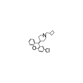 Clc1ccc2c(c1)C(=C1CCN(CC3CCC3)CC1)c1ccccc1O2